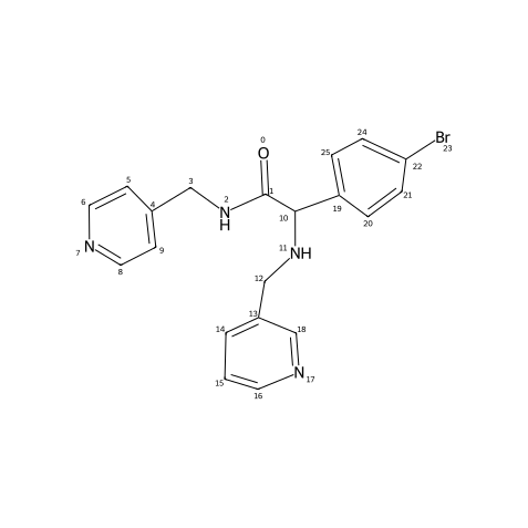 O=C(NCc1ccncc1)C(NCc1cccnc1)c1ccc(Br)cc1